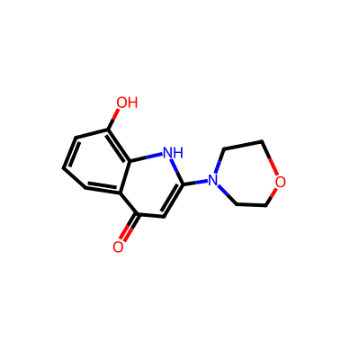 O=c1cc(N2CCOCC2)[nH]c2c(O)cccc12